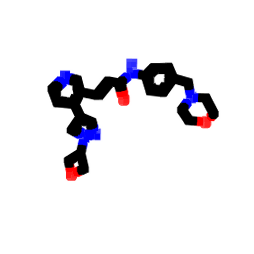 O=C(C=Cc1cnccc1-c1cnn(C2COC2)c1)Nc1ccc(CN2CCOCC2)cc1